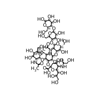 CC(=O)N[C@H]1[C@H](O[C@@H]2[C@H](O[C@]3(C(=O)O)C[C@H](O)[C@@H](NC(=O)CO)[C@H]([C@H](O)[C@H](O)CO)O3)[C@@H](O)[C@H](O[C@H]3[C@@H](O)[C@@H](CO)O[C@@H](O[C@@H]4[C@H](O)[C@@H](O)[C@H](O[C@H]5[C@H](O)[C@@H](O)[C@H](O)O[C@@H]5CO)O[C@@H]4CO)[C@@H]3NC(C)=O)O[C@@H]2CO)O[C@H](CO)[C@H](O)[C@@H]1O